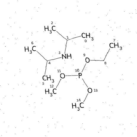 CC(C)NC(C)C.CCOP(OC)OC